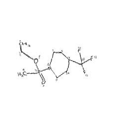 CCOP(C)(=O)N1CCC(C(F)(F)F)CC1